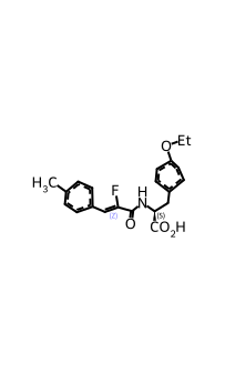 CCOc1ccc(C[C@H](NC(=O)/C(F)=C/c2ccc(C)cc2)C(=O)O)cc1